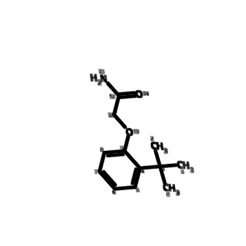 CC(C)(C)c1ccccc1OCC(N)=O